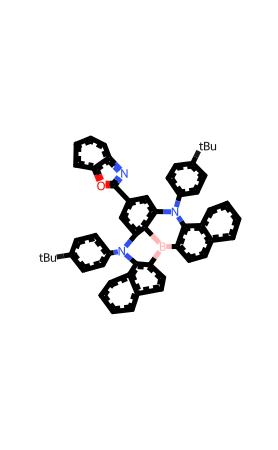 CC(C)(C)c1ccc(N2c3cc(-c4nc5ccccc5o4)cc4c3B(c3ccc5ccccc5c32)c2ccc3ccccc3c2N4c2ccc(C(C)(C)C)cc2)cc1